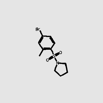 Cc1cc(Br)ccc1S(=O)(=O)N1CCCC1